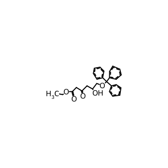 CCOC(=O)CC(=O)C[C@H](O)COC(c1ccccc1)(c1ccccc1)c1ccccc1